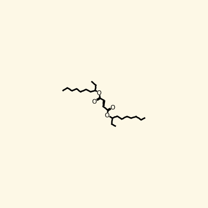 CCCCCCCC(CC)OC(=O)/C=C/C(=O)OC(CC)CCCCCCC